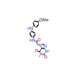 COc1ccc(Nc2ccc(NC(=O)Cn3cnc4c3c(=O)n(C)c(=O)n4C)cc2)cc1